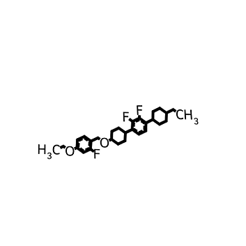 CCOc1ccc(COC2CCC(c3ccc(C4CCC(CC)CC4)c(F)c3F)CC2)c(F)c1